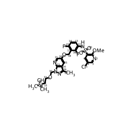 COc1ncc(Cl)cc1S(=O)(=O)Nc1ccc(F)c(COc2cnc3c(c2)c(C)nn3COCC[Si](C)(C)C)c1F